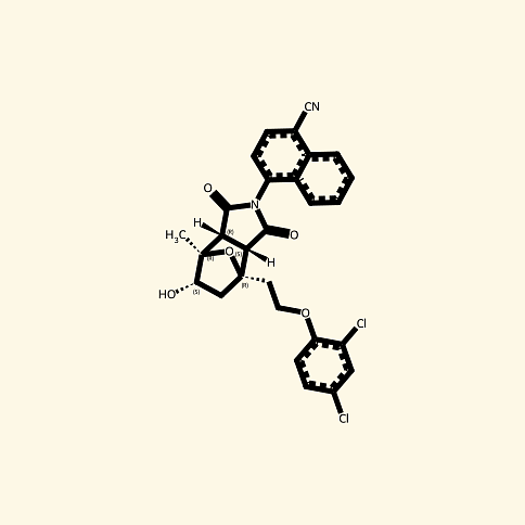 C[C@]12O[C@](CCOc3ccc(Cl)cc3Cl)(C[C@@H]1O)[C@H]1C(=O)N(c3ccc(C#N)c4ccccc34)C(=O)[C@H]12